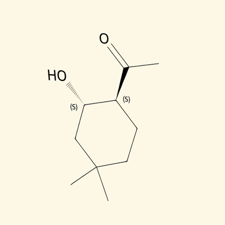 CC(=O)[C@H]1CCC(C)(C)C[C@@H]1O